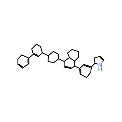 C1=CCCC(C2=CC(C3CCC(C4C=CC(C5=CCCC(C6CC=CN6)=C5)C5CCCCC45)CC3)CCC2)=C1